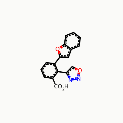 O=C(O)c1cccc(-c2cc3ccccc3o2)c1-c1conn1